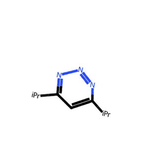 CC(C)c1cc(C(C)C)nnn1